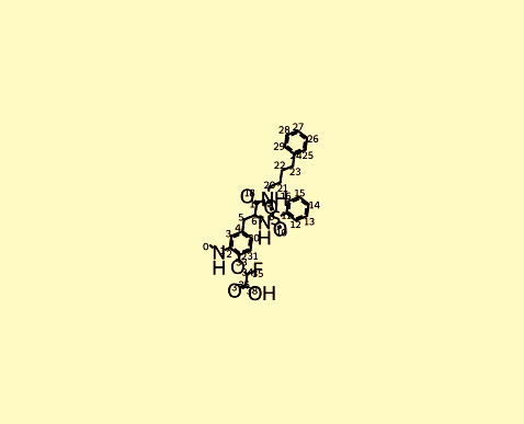 CNc1cc(CC(NS(=O)(=O)c2ccccc2)C(=O)NCCCCc2ccccc2)ccc1OC(F)C(=O)O